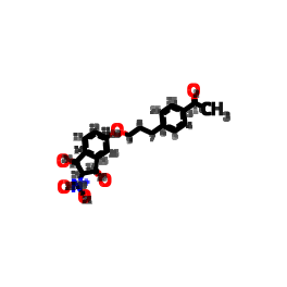 CC(=O)c1ccc(CCCOc2ccc3c(c2)C(=O)C([N+](=O)[O-])C3=O)cc1